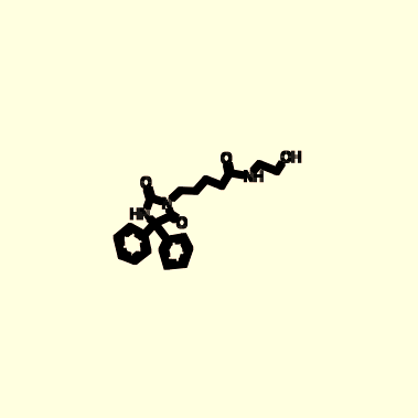 O=C(CCCCN1C(=O)NC(c2ccccc2)(c2ccccc2)C1=O)NCCO